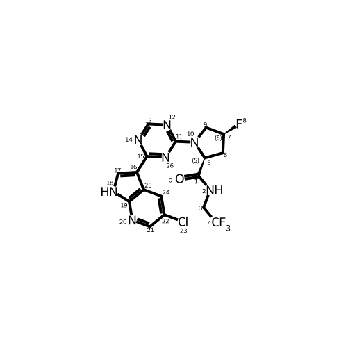 O=C(NCC(F)(F)F)[C@@H]1C[C@H](F)CN1c1ncnc(-c2c[nH]c3ncc(Cl)cc23)n1